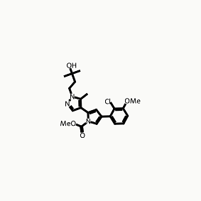 COC(=O)n1cc(-c2cccc(OC)c2Cl)cc1-c1cnn(CCC(C)(C)O)c1C